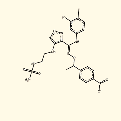 CC(O/N=C(\Nc1ccc(F)c(Br)c1)c1nonc1NCCNS(N)(=O)=O)c1ccc([N+](=O)[O-])cc1